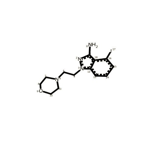 Nc1nn(CCN2CCOCC2)c2cccc(I)c12